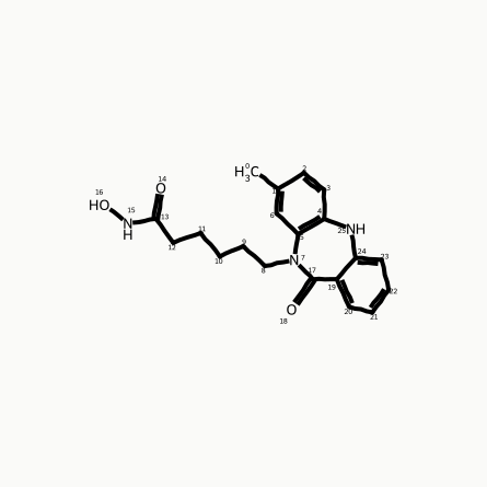 Cc1ccc2c(c1)N(CCCCCC(=O)NO)C(=O)c1ccccc1N2